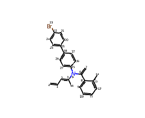 C=C/C=C(\C)N(C(=C)c1ccccc1C)c1ccc(-c2ccc(Br)cc2)cc1